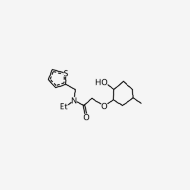 CCN(Cc1cccs1)C(=O)COC1CC(C)CCC1O